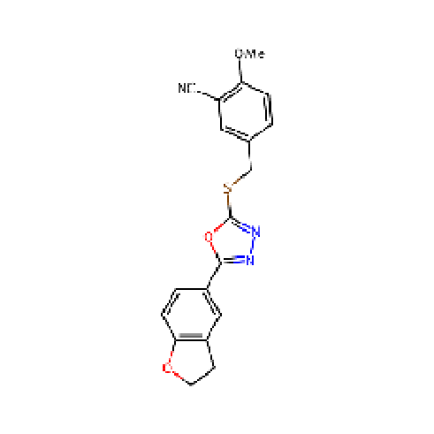 COc1ccc(CSc2nnc(-c3ccc4c(c3)CCO4)o2)cc1C#N